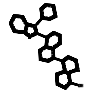 Oc1cccc2c(-c3cccc4c(-c5nc6ccccc6n5-c5ccccc5)cccc34)ccnc12